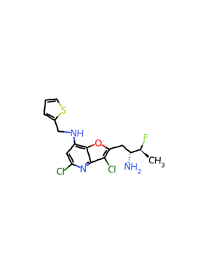 C[C@H](F)[C@H](N)Cc1oc2c(NCc3cccs3)cc(Cl)nc2c1Cl